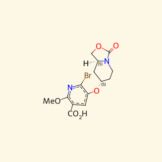 COc1nc(Br)c(O[C@H]2CCN3C(=O)OC[C@@H]3C2)cc1C(=O)O